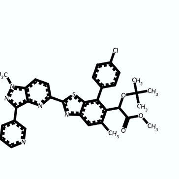 COC(=O)C(OC(C)(C)C)c1c(C)cc2nc(-c3ccc4c(n3)c(-c3cccnc3)nn4C)sc2c1-c1ccc(Cl)cc1